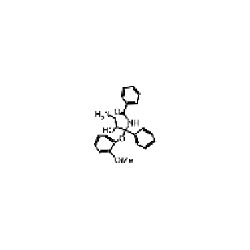 COc1ccccc1OC(NC(=O)c1ccccc1)(c1ccccc1)C(O)CN